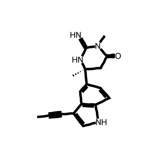 CC#Cc1c[nH]c2ccc([C@]3(C)CC(=O)N(C)C(=N)N3)cc12